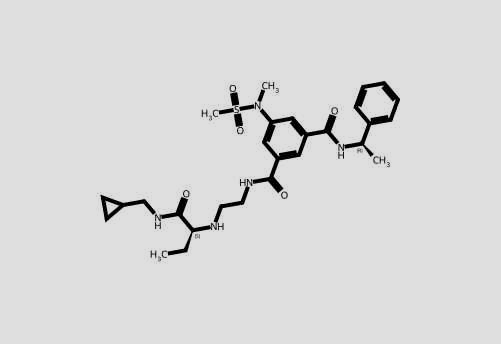 CC[C@H](NCCNC(=O)c1cc(C(=O)N[C@H](C)c2ccccc2)cc(N(C)S(C)(=O)=O)c1)C(=O)NCC1CC1